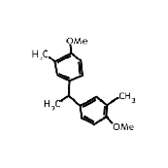 COc1ccc(C(C)c2ccc(OC)c(C)c2)cc1C